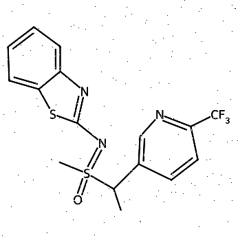 CC(c1ccc(C(F)(F)F)nc1)S(C)(=O)=Nc1nc2ccccc2s1